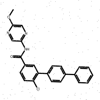 COc1cnc(NC(=O)c2ccc(Cl)c(-c3ccc(-c4ccccc4)cc3)c2)cn1